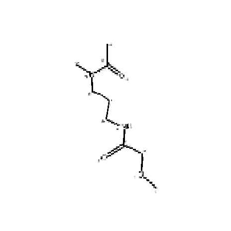 COCC(=O)NCCCN(C)C(C)=O